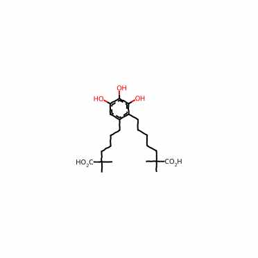 CC(C)(CCCCCc1c(CCCCC(C)(C)C(=O)O)cc(O)c(O)c1O)C(=O)O